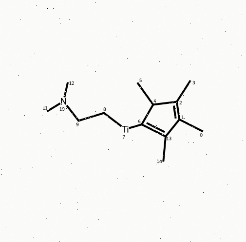 CC1=C(C)C(C)[C]([Ti][CH2]CN(C)C)=C1C